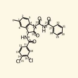 Cc1ccc2c(c1)C(NC(=O)c1ccc(Cl)c(Cl)c1)C(=O)N2C(=O)NC(=O)c1ccccc1